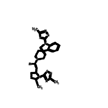 CCC(CC1CCC(C)N1c1nc(C)ns1)N1CCC2(CC1)CN(c1nc(C)ns1)c1ccccc12